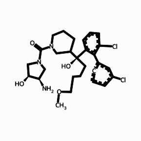 COCCCC[C@@](O)(c1cccc(Cl)c1-c1cccc(Cl)c1)C1CCCN(C(=O)N2C[C@@H](N)[C@@H](O)C2)C1